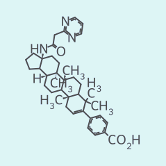 CC1(C)C(c2ccc(C(=O)O)cc2)=CC[C@@]2(C)C1CC[C@]1(C)C2CC[C@@H]2C3CCC[C@]3(NC(=O)Cc3ncccn3)CC[C@]21C